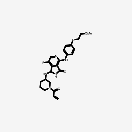 C=CC(=O)N1CCCC(NC2NC(=O)c3c(Nc4ccc(OCCOC)cc4)ncc(F)c32)C1